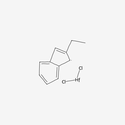 CCC1=Cc2ccccc2[CH]1.[Cl][Hf][Cl]